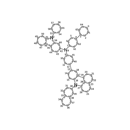 c1ccc(-c2ccc(N(c3ccc(-c4ccc5c(c4)-c4cccc6cccc(c46)N5c4ccc5ccccc5c4)cc3)c3ccc4c5ccccc5n(-c5ccccc5)c4c3)cc2)cc1